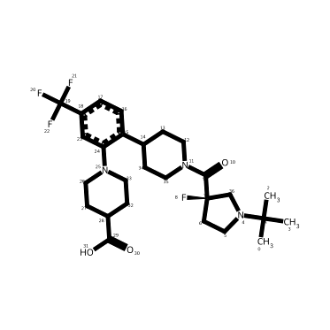 CC(C)(C)N1CC[C@](F)(C(=O)N2CCC(c3ccc(C(F)(F)F)cc3N3CCC(C(=O)O)CC3)CC2)C1